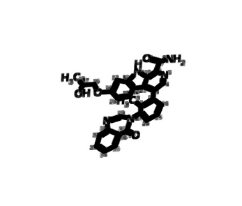 Cc1c(-c2cnc(C(N)=O)c3[nH]c4cc(OCC(C)O)ccc4c23)cccc1-n1cnc2ccccc2c1=O